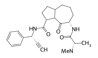 C#C[C@@H](NC(=O)C1CCC2CCC[C@H](NC(=O)[C@H](C)NC)C(=O)C21)c1ccccc1